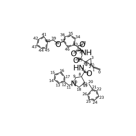 C=C[C@@H]1C[C@]1(NC(=O)C1CN(Cc2ccccc2)C[C@H]1Cc1ccccc1)C(=O)NS(=O)(=O)c1cccc(OCc2ccccc2)c1